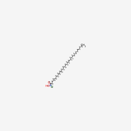 CCCCCCCCCCCCCCCCCCCCCCCCCCCCCCCCCCC(=O)N(O)Cl